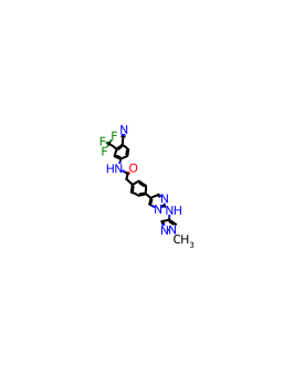 Cn1cc(Nc2ncc(-c3ccc(CC(=O)Nc4ccc(C#N)c(C(F)(F)F)c4)cc3)cn2)cn1